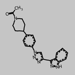 CC(=O)N1CCC(c2ccc(-n3cc(-c4n[nH]c5ccccc45)nn3)cc2)CC1